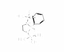 C[Si](C)(C)N1CCN([Si](C)(C)C)[Si]1(F)c1ccccc1